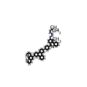 C=C(C)/C=C\C=C/Cc1ccc2c(-c3ccc(-c4ccc5c6ccc(-c7cc8cccnc8c8ncccc78)cc6c6ccccc6c5c4)cc3)nc3ccccc3c2c1C